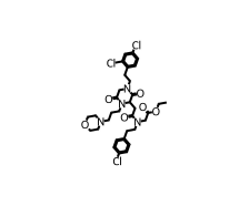 CCOC(=O)CN(CCc1ccc(Cl)cc1)C(=O)CC1C(=O)N(CCc2ccc(Cl)cc2Cl)CC(=O)N1CCCN1CCOCC1